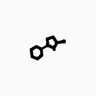 O=c1ccn(-c2ccccc2)s1